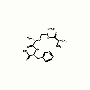 C[C@H](N)C(=O)N[C@@H](CO)CO[C@@H](C)C(=O)N[C@@H](Cc1ccccc1)C(=O)O